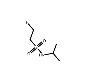 CC(C)NS(=O)(=O)CCF